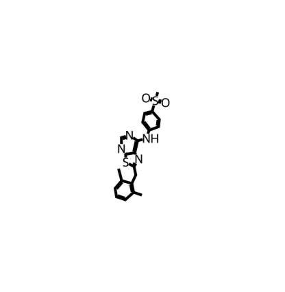 Cc1cccc(C)c1Cc1nc2c(Nc3ccc(S(C)(=O)=O)cc3)ncnc2s1